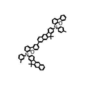 Cc1ccc(N(c2ccc3c(c2)C(C)(C)c2cc4cc(-c5ccc6oc7c(N(c8cccc(C)c8)c8ccc9c(c8)C(C)(C)c8cc%10ccccc%10cc8-9)cccc7c6c5)ccc4cc2-3)c2cccc3c2oc2ccccc23)cc1